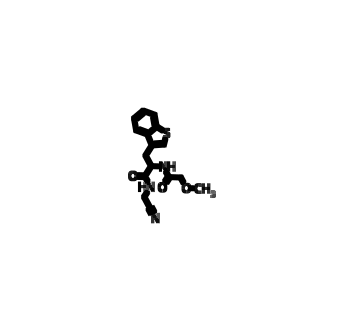 COCC(=O)NC(Cc1csc2ccccc12)C(=O)NCC#N